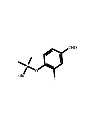 CC(C)(C)[Si](C)(C)Oc1ccc(C=O)cc1F